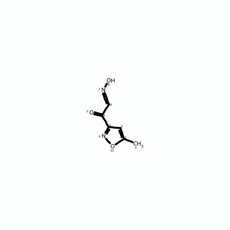 Cc1cc(C(=O)C=NO)no1